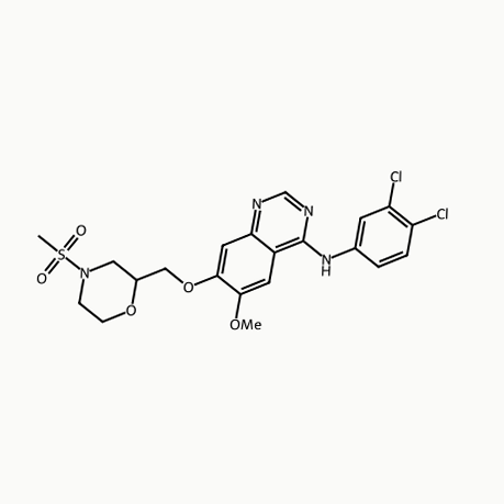 COc1cc2c(Nc3ccc(Cl)c(Cl)c3)ncnc2cc1OCC1CN(S(C)(=O)=O)CCO1